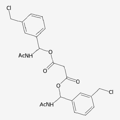 CC(=O)NC(OC(=O)CC(=O)OC(NC(C)=O)c1cccc(CCl)c1)c1cccc(CCl)c1